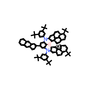 CC(C)(C)c1cc(N2c3cc(-c4ccc5cc6ccccc6cc5c4)cc4c3B(c3c2cc2ccc5c(C(C)(C)C)ccc6ccc3c2c65)c2c(cc3ccc5c(C(C)(C)C)ccc6ccc2c3c65)N4c2cc(C(C)(C)C)cc(C(C)(C)C)c2)cc(C(C)(C)C)c1